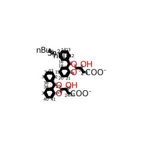 CCC[CH2][Sn+2][CH2]CCC.O=C([O-])CC(O)C(=O)OC(c1ccccc1)c1ccccc1.O=C([O-])CC(O)C(=O)OC(c1ccccc1)c1ccccc1